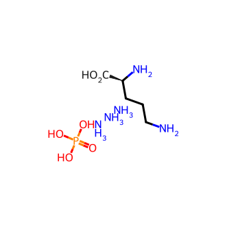 N.N.N.NCCC[C@H](N)C(=O)O.O=P(O)(O)O